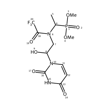 COP(=O)(OC)C(C)N(CC(O)n1ccc(=O)[nH]c1=O)C(=O)C(F)(F)F